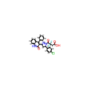 O=C(O)CC(F)(F)C(=O)N1N=C(c2c(-c3ccccc3)c3ccccc3[nH]c2=O)CC1c1ccc(Cl)cc1